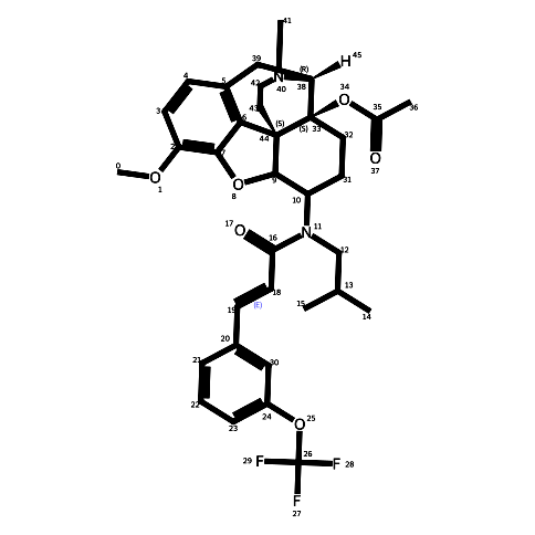 COc1ccc2c3c1OC1C(N(CC(C)C)C(=O)/C=C/c4cccc(OC(F)(F)F)c4)CC[C@@]4(OC(C)=O)[C@@H](C2)N(C)CC[C@]314